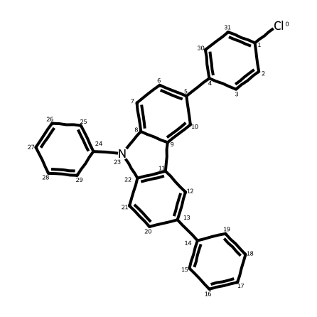 Clc1ccc(-c2ccc3c(c2)c2cc(-c4ccccc4)ccc2n3-c2ccccc2)cc1